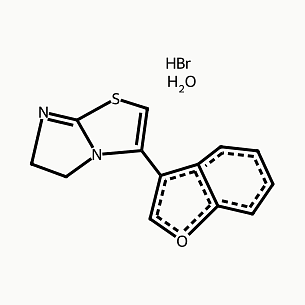 Br.C1=C(c2coc3ccccc23)N2CCN=C2S1.O